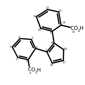 O=C(O)c1ccccc1C1=C(c2ccccc2C(=O)O)CC=C1